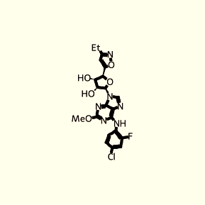 CCc1cc([C@H]2O[C@@H](n3cnc4c(Nc5ccc(Cl)cc5F)nc(OC)nc43)[C@H](O)[C@@H]2O)on1